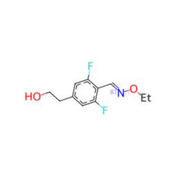 CCO/N=C/c1c(F)cc(CCO)cc1F